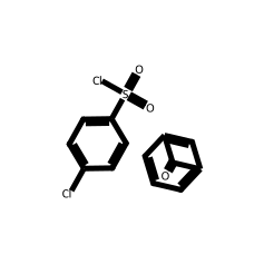 O=C1c2cccc1c2.O=S(=O)(Cl)c1ccc(Cl)cc1